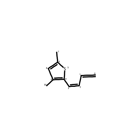 C=C/C=C\c1sc(C)cc1C